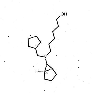 OCCCCCCN(CC1CCCC1)C1C2CCC[C@H]21